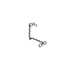 CCCCCCCCC1CC1CCCCCCCC(=O)Cl